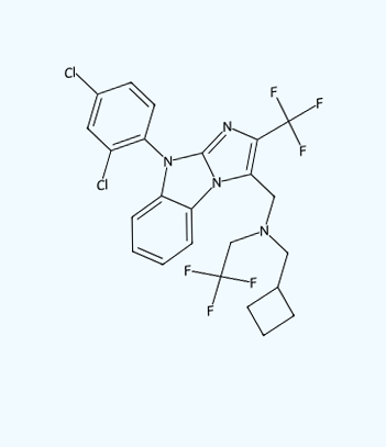 FC(F)(F)CN(Cc1c(C(F)(F)F)nc2n(-c3ccc(Cl)cc3Cl)c3ccccc3n12)CC1CCC1